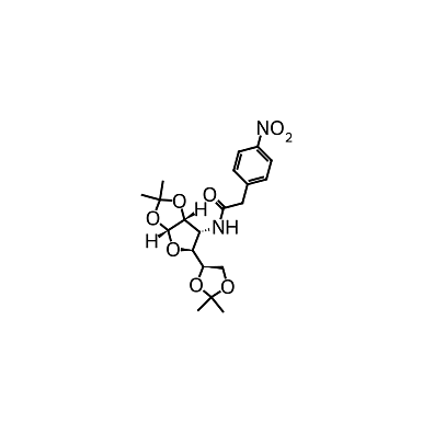 CC1(C)O[C@H]2O[C@H]([C@H]3COC(C)(C)O3)[C@@H](NC(=O)Cc3ccc([N+](=O)[O-])cc3)[C@H]2O1